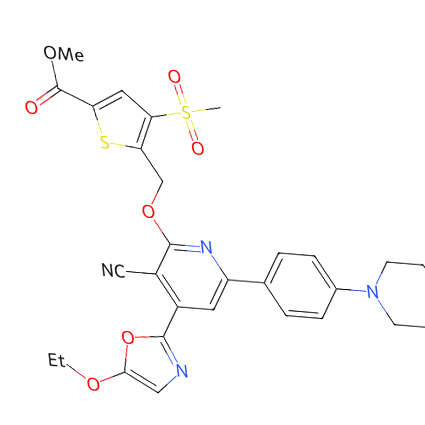 CCOc1cnc(-c2cc(-c3ccc(N4CCOCC4)cc3)nc(OCc3sc(C(=O)OC)cc3S(C)(=O)=O)c2C#N)o1